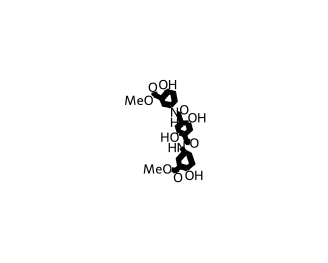 COC(=O)c1cc(NC(=O)c2cc(O)c(C(=O)Nc3ccc(O)c(C(=O)OC)c3)cc2O)ccc1O